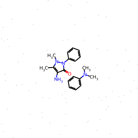 CN(C)c1ccccc1.Cc1c(N)c(=O)n(-c2ccccc2)n1C